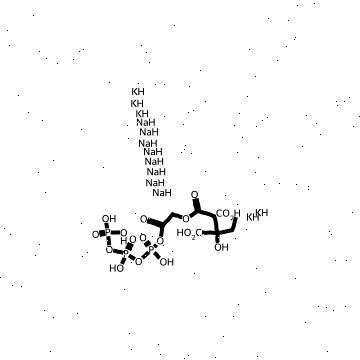 O=C(O)CC(O)(CC(=O)OCC(=O)OP(=O)(O)OP(=O)(O)OP(=O)(O)O)C(=O)O.[KH].[KH].[KH].[KH].[KH].[NaH].[NaH].[NaH].[NaH].[NaH].[NaH].[NaH].[NaH]